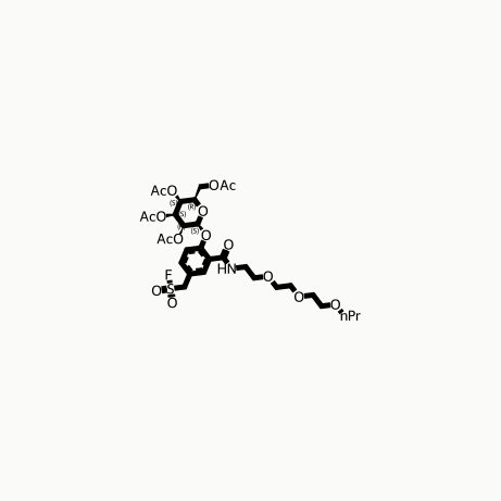 CCCOCCOCCOCCNC(=O)c1cc(CS(=O)(=O)F)ccc1O[C@@H]1O[C@H](COC(C)=O)[C@H](OC(C)=O)[C@H](OC(C)=O)[C@H]1OC(C)=O